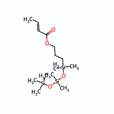 CC=CC(=O)OCCC[Si](C)(C)O[Si](C)(C)O[Si](C)(C)C